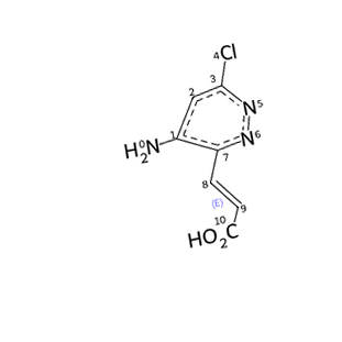 Nc1cc(Cl)nnc1/C=C/C(=O)O